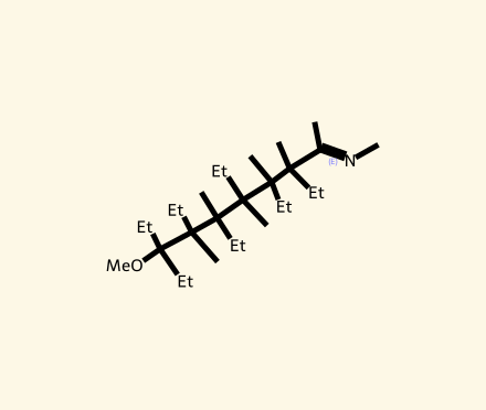 CCC(CC)(OC)C(C)(CC)C(C)(CC)C(C)(CC)C(C)(CC)C(C)(CC)/C(C)=N/C